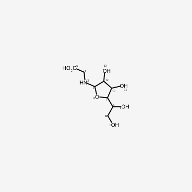 O=C(O)CNC1OC(C(O)CO)C(O)C1O